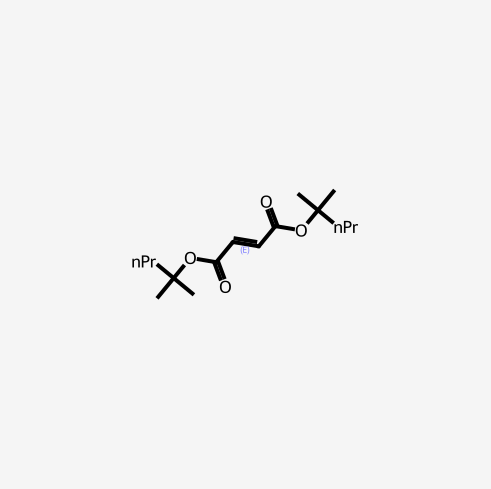 CCCC(C)(C)OC(=O)/C=C/C(=O)OC(C)(C)CCC